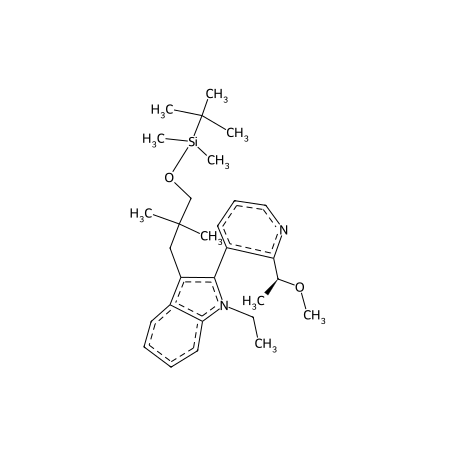 CCn1c(-c2cccnc2[C@H](C)OC)c(CC(C)(C)CO[Si](C)(C)C(C)(C)C)c2ccccc21